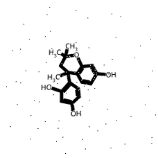 CC1(C)CC(C)(c2ccc(O)cc2O)c2ccc(O)cc2O1